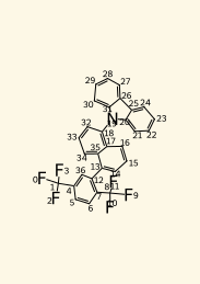 FC(F)(F)c1ccc(C(F)(F)F)c(-c2cccc3c(-n4c5ccccc5c5ccccc54)cccc23)c1